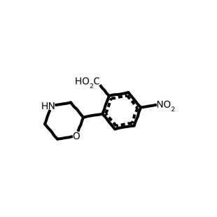 O=C(O)c1cc([N+](=O)[O-])ccc1C1CNCCO1